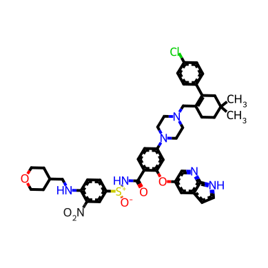 CC1(C)CCC(CN2CCN(c3ccc(C(=O)N[S+]([O-])c4ccc(NCC5CCOCC5)c([N+](=O)[O-])c4)c(Oc4cnc5[nH]ccc5c4)c3)CC2)=C(c2ccc(Cl)cc2)C1